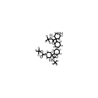 CC(C)(C)NC(=O)C1(C2CCCCC2)CCN(C(=O)OC(C)(C)C)CC1.CC(C)(C)NC(=O)C1(C2CCCCC2)CCNCC1